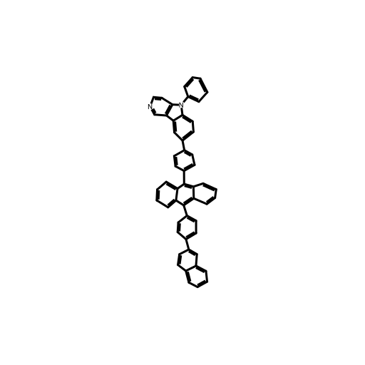 c1ccc(-n2c3ccncc3c3cc(-c4ccc(-c5c6ccccc6c(-c6ccc(-c7ccc8ccccc8c7)cc6)c6ccccc56)cc4)ccc32)cc1